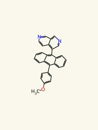 COc1ccc(-c2c3ccccc3c(-c3cncc4cnccc34)c3ccccc23)cc1